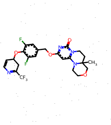 CC12CCn3c(cc(OCc4cc(F)c(OC5C=CN=C(C(F)(F)F)C5)c(F)c4)nc3=O)N1CCOC2